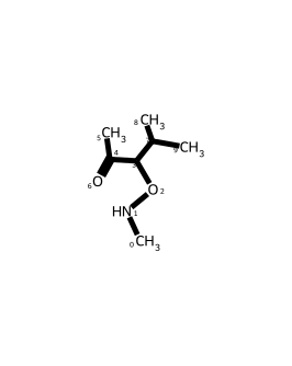 CNOC(C(C)=O)C(C)C